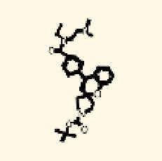 CCN(CCN(C)C)C(=O)c1ccc(C2=CC3(CCN(C(=O)OC(C)(C)C)CC3)Oc3ccccc32)cc1